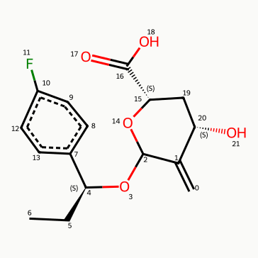 C=C1C(O[C@@H](CC)c2ccc(F)cc2)O[C@H](C(=O)O)C[C@@H]1O